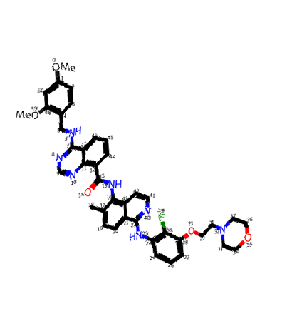 COc1ccc(CNc2ncnc3c(C(=O)Nc4c(C)ccc5c(Nc6cccc(OCCN7CCOCC7)c6F)nccc45)cccc23)c(OC)c1